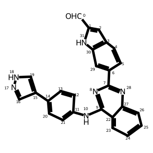 O=Cc1cc2ccc(-c3nc(Nc4ccc(-c5cn[nH]c5)cc4)c4ccccc4n3)cc2[nH]1